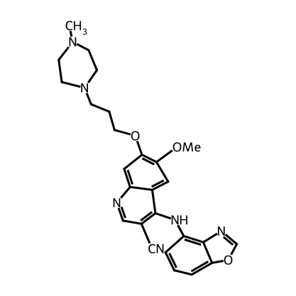 COc1cc2c(Nc3cccc4ocnc34)c(C#N)cnc2cc1OCCCN1CCN(C)CC1